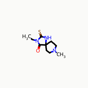 CCN1C(=O)C2(CCN(C)CC2)NC1=S